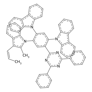 C/C=C\c1c(C)n(-c2cc(-c3nc(-c4ccccc4)nc(-c4ccccc4)n3)c(-n3c4ccccc4c4ccccc43)cc2-n2c3ccccc3c3ccccc32)c2ccccc12